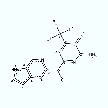 CC(C1=NC(N)C(=S)C(C(F)(F)F)=N1)c1cc2cc[nH]c2cn1